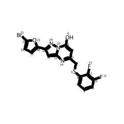 Oc1cc(CSc2cccc(F)c2F)nc2cc(-c3ccc(Br)o3)nn12